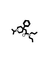 CCCN(CCC)C(=O)CC1(c2ccccc2)CCN(C(C)C)CC1